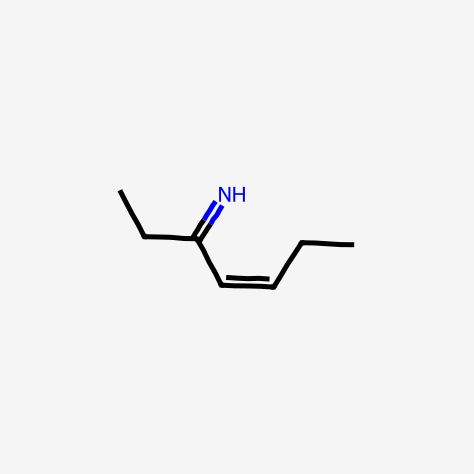 CC/C=C\C(=N)CC